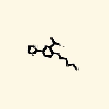 CCOCCOc1ccc(-c2ncc[nH]2)cc1C(N)=O